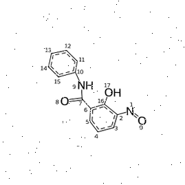 O=Nc1cccc(C(=O)Nc2ccccc2)c1O